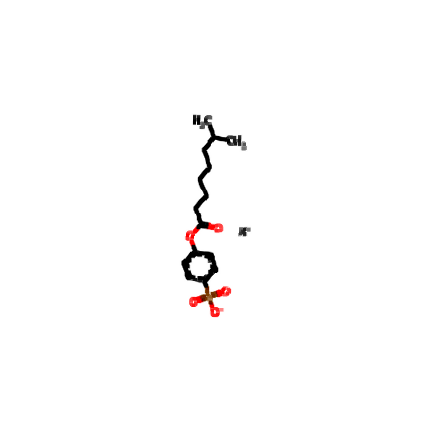 CC(C)CCCCCC(=O)Oc1ccc(S(=O)(=O)[O-])cc1.[K+]